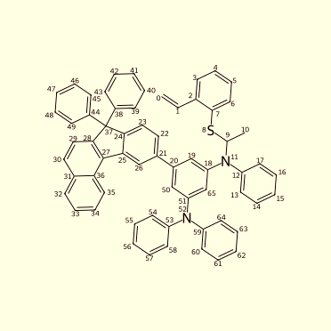 C=Cc1ccccc1SC(C)N(c1ccccc1)c1cc(-c2ccc3c(c2)-c2c(ccc4ccccc24)C3(c2ccccc2)c2ccccc2)cc(N(c2ccccc2)c2ccccc2)c1